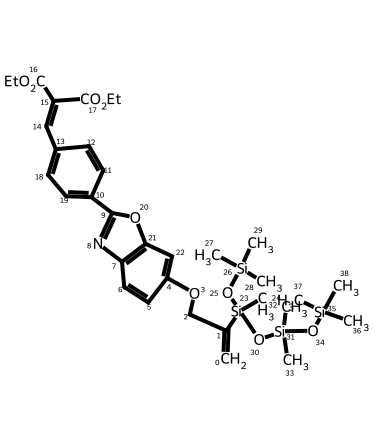 C=C(COc1ccc2nc(-c3ccc(C=C(C(=O)OCC)C(=O)OCC)cc3)oc2c1)[Si](C)(O[Si](C)(C)C)O[Si](C)(C)O[Si](C)(C)C